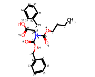 CCCCOC(=O)N(C(=O)OCc1ccccc1)[C@@H](Cc1ccccc1)C(=O)O